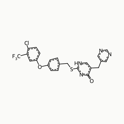 O=c1nc(SCc2ccc(Oc3ccc(Cl)c(C(F)(F)F)c3)cc2)[nH]cc1Cc1cncnc1